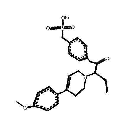 CCC(C(=O)c1ccc(CS(=O)(=O)O)cc1)N1CC=C(c2ccc(OC)cc2)CC1